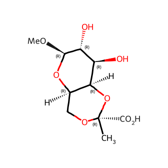 CO[C@@H]1O[C@@H]2CO[C@@](C)(C(=O)O)O[C@@H]2[C@H](O)[C@H]1O